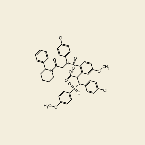 COc1ccc(S(=O)(=O)N(c2ccc(Cl)cc2)C(C(=O)O)c2cc(OC)ccc2S(=O)(=O)N(CC(=O)N2CCCCC2c2ccccc2)c2ccc(Cl)cc2)cc1